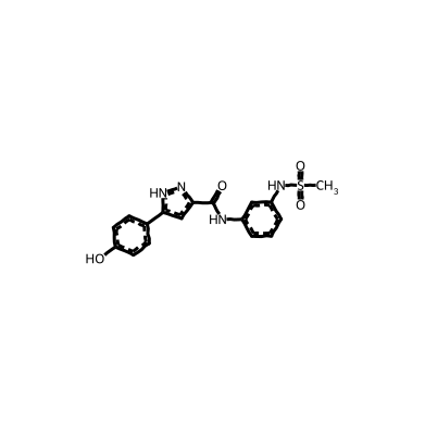 CS(=O)(=O)Nc1cccc(NC(=O)c2cc(-c3ccc(O)cc3)[nH]n2)c1